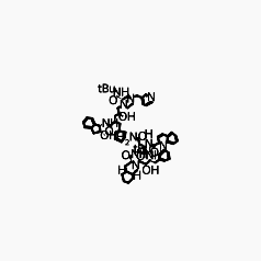 CC(C)(C)NC(=O)[C@@H]1CN(Cc2cccnc2)CCN1C[C@@H](O)C[C@@H](Cc1ccccc1)C(=O)N[C@H]1c2ccccc2C[C@H]1O.CC(C)(C)NC(=O)[C@@H]1C[C@@H]2CCCC[C@@H]2CN1C[C@@H](O)[C@H](Cc1ccccc1)NC(=O)[C@H](CC(N)=O)NC(=O)c1ccc2ccccc2n1